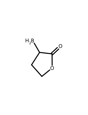 BC1CCOC1=O